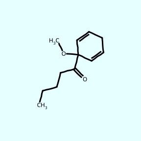 CCCCC(=O)C1(OC)C=CCC=C1